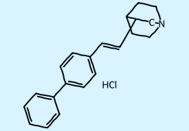 C(=CC1CN2CCC1CC2)c1ccc(-c2ccccc2)cc1.Cl